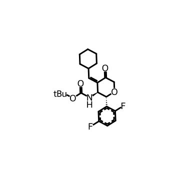 CC(C)(C)OC(=O)N[C@H]1C(=CC2CCCCC2)C(=O)CO[C@@H]1c1cc(F)ccc1F